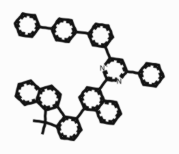 CC1(C)c2cccc(-c3ccc(-c4nc(-c5ccccc5)cc(-c5cccc(-c6ccc(-c7ccccc7)cc6)c5)n4)c4ccccc34)c2-c2ccc3ccccc3c21